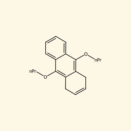 CCCOc1c2c(c(OCCC)c3ccccc13)CC=CC2